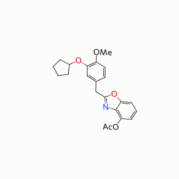 COc1ccc(Cc2nc3c(OC(C)=O)cccc3o2)cc1OC1CCCC1